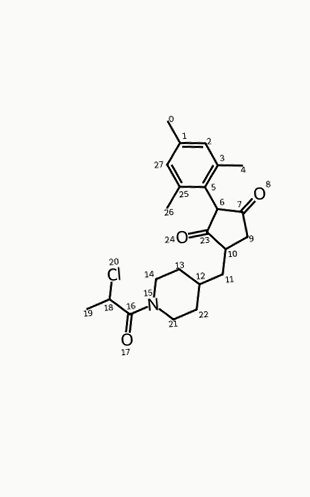 Cc1cc(C)c(C2C(=O)CC(CC3CCN(C(=O)C(C)Cl)CC3)C2=O)c(C)c1